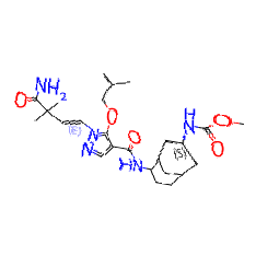 COC(=O)N[C@H]1CC2CCC(NC(=O)c3cnn(/C=C/C(C)(C)C(N)=O)c3OCC(C)C)C(C2)C1